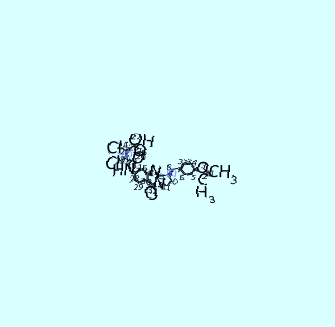 CC(C)Oc1ccc(/C=C2\CCn3c2nc2cc(NC(=O)/C(Cl)=C(/Cl)C(=O)O)ccc2c3=O)cc1